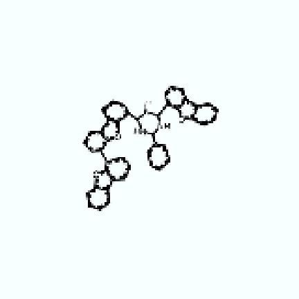 c1ccc(C2NC(c3cccc4c3oc3ccccc34)NC(c3cccc4c3oc3c(-c5cccc6c5oc5ccccc56)cccc34)N2)cc1